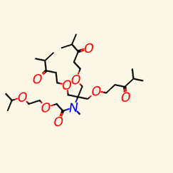 CC(C)OCCOCC(=O)N(C)C(COCCC(=O)C(C)C)(COCCC(=O)C(C)C)COCCC(=O)C(C)C